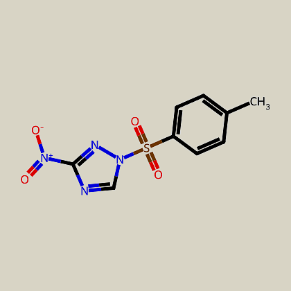 Cc1ccc(S(=O)(=O)n2cnc([N+](=O)[O-])n2)cc1